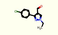 CCn1cc(C=O)c(-c2ccc(Cl)cc2)n1